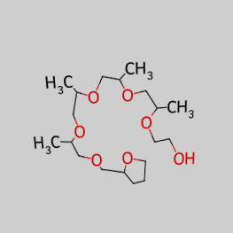 CC(COCC1CCCO1)OCC(C)OCC(C)OCC(C)OCCO